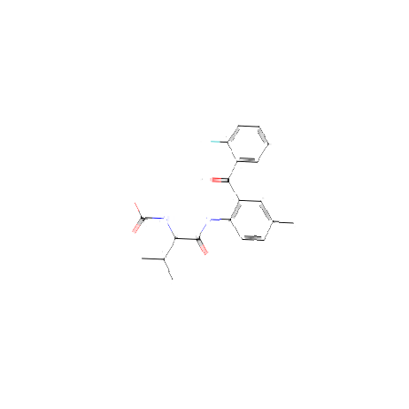 Cc1ccc(NC(=O)C(NC(=O)O)C(C)C)c(C(=O)c2ccccc2F)c1